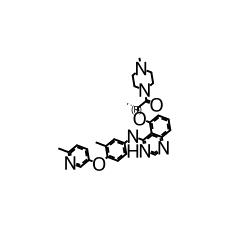 Cc1ccc(Oc2ccc(Nc3ncnc4cccc(O[C@H](C)C(=O)N5CCN(C)CC5)c34)cc2C)cn1